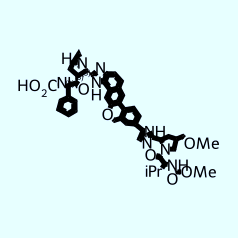 COCC1CC(c2ncc(-c3ccc4c(c3)COc3cc5c(ccc6nc([C@@H]7[C@@H](C(=O)[C@H](NC(=O)O)c8ccccc8)C[C@@H]8CN87)[nH]c65)cc3-4)[nH]2)N(C(=O)C(NC(=O)OC)C(C)C)C1